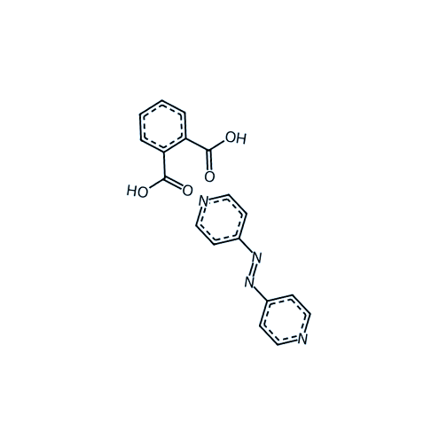 O=C(O)c1ccccc1C(=O)O.c1cc(N=Nc2ccncc2)ccn1